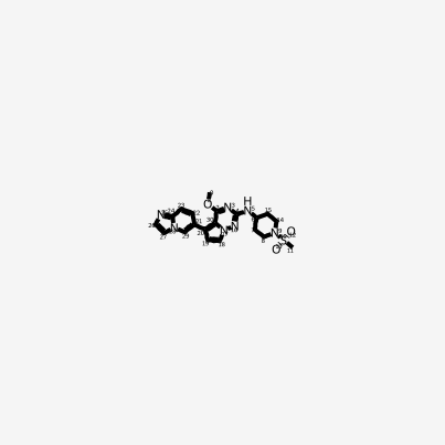 COc1nc(NC2CCN(S(C)(=O)=O)CC2)nn2ccc(-c3ccc4nccn4c3)c12